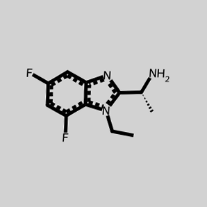 CCn1c([C@@H](C)N)nc2cc(F)cc(F)c21